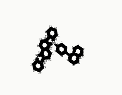 c1ccc2c(-c3ccc(-n4c5ccccc5c5ccc6c(ccc7c8ccccc8sc76)c54)cc3)cccc2c1